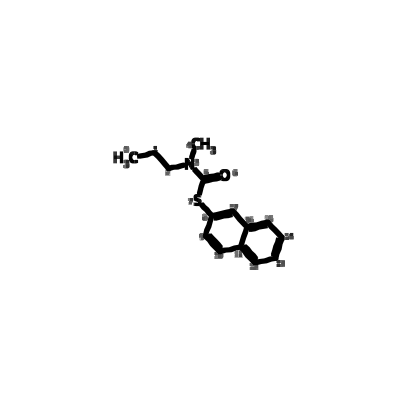 CCCN(C)C(=O)Sc1ccc2ccccc2c1